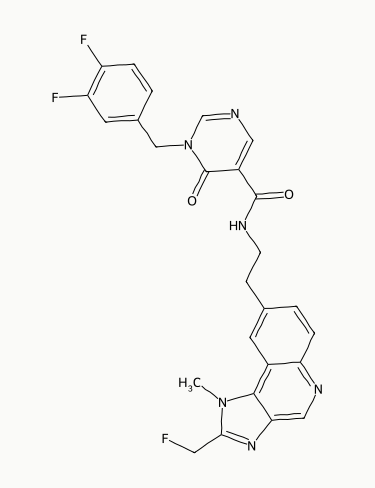 Cn1c(CF)nc2cnc3ccc(CCNC(=O)c4cncn(Cc5ccc(F)c(F)c5)c4=O)cc3c21